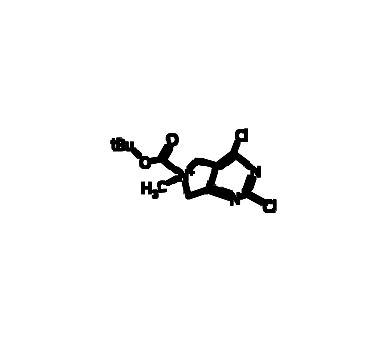 CC(C)(C)OC(=O)[N+]1(C)Cc2nc(Cl)nc(Cl)c2C1